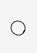 [CH]1CCCCC/C=C\CCCCC1